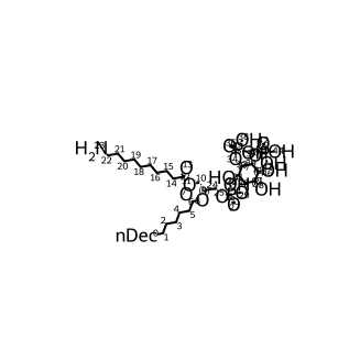 CCCCCCCCCCCCCCCC(=O)O[C@H](COC(=O)CCCCCCCCCN)COP(=O)(O)OC1C(O)[C@@H](OP(=O)(O)O)C(OP(=O)(O)O)[C@@H](O)[C@H]1O